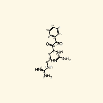 N=C(N)NCCCC(NC(=N)N)C(=O)C(=O)c1ccccc1